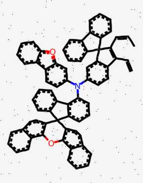 C=CC1=C(/C=C\C)C2(c3cc(N(c4ccc5c(c4)oc4ccccc45)c4cccc5c4-c4ccccc4C54c5ccc6ccccc6c5Oc5c4ccc4ccccc54)ccc31)c1ccccc1-c1ccccc12